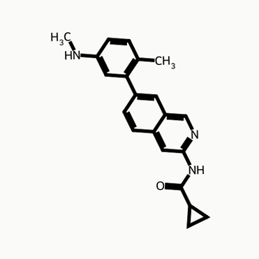 CNc1ccc(C)c(-c2ccc3cc(NC(=O)C4CC4)ncc3c2)c1